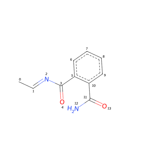 CC=NC(=O)c1ccccc1C(N)=O